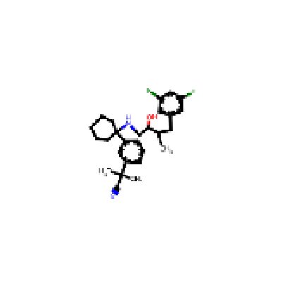 CC(Cc1cc(F)cc(F)c1)C(O)CNC1(c2cccc(C(C)(C)C#N)c2)CCCCC1